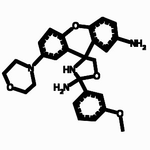 COc1cccc(C2(N)NC3(CO2)c2cc(N)ccc2Oc2ccc(N4CCOCC4)cc23)c1